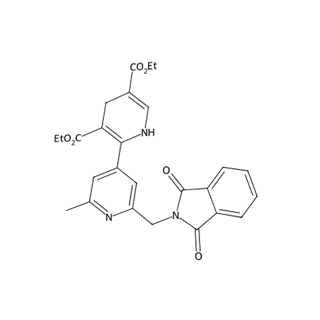 CCOC(=O)C1=CNC(c2cc(C)nc(CN3C(=O)c4ccccc4C3=O)c2)=C(C(=O)OCC)C1